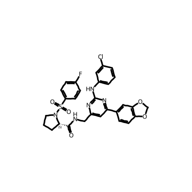 O=C(NCc1cc(-c2ccc3c(c2)OCO3)nc(Nc2cccc(Cl)c2)n1)[C@@H]1CCCN1S(=O)(=O)c1ccc(F)cc1